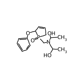 CC(O)N(CP1(=O)CC=CC1Oc1ccccc1)C(C)O